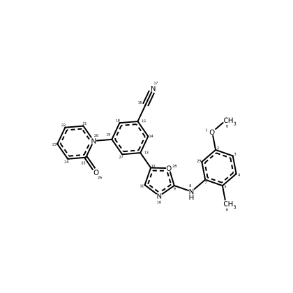 COc1ccc(C)c(Nc2ncc(-c3cc(C#N)cc(-n4ccccc4=O)c3)o2)c1